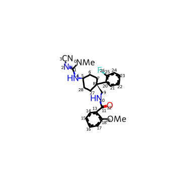 CN/C(=N\C#N)N[C@H]1CC[C@](CNC(=O)c2ccccc2OC)(c2ccccc2F)CC1